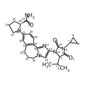 CC(C)C1C(=O)N(C2CC2)C(=O)N1c1cn2c(n1)-c1ccc(N3CCC[C@H]3C(N)=O)cc1SCC2